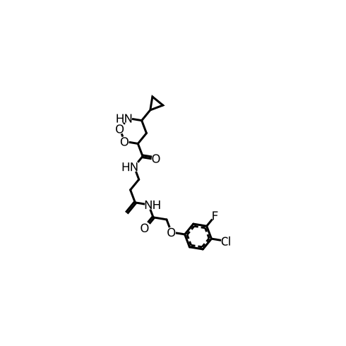 C=C(CCNC(=O)C1CC(C2CC2)NOO1)NC(=O)COc1ccc(Cl)c(F)c1